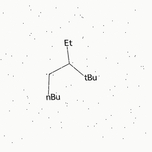 CCCC[CH]C(CC)C(C)(C)C